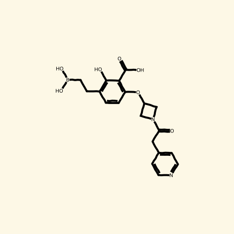 O=C(O)c1c(OC2CN(C(=O)Cc3ccncc3)C2)ccc(CCB(O)O)c1O